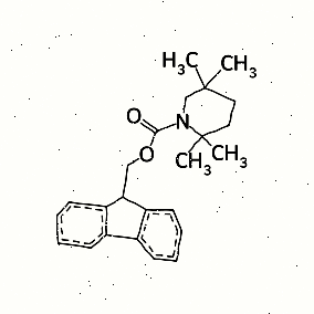 CC1(C)CCC(C)(C)N(C(=O)OCC2c3ccccc3-c3ccccc32)C1